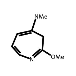 CNC1=CC=CN=C(OC)C1